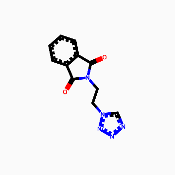 O=C1c2ccccc2C(=O)N1CCn1cnnn1